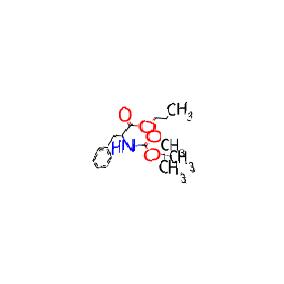 CCCOC(=O)[C@H](Cc1ccccc1)NC(=O)OC(C)(C)C